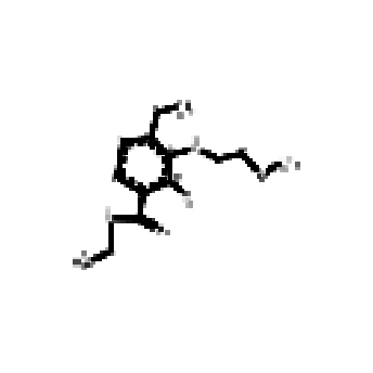 CCOC(=S)c1ccc(CC)c(OCCOC)c1Cl